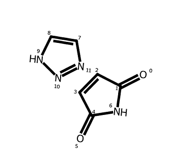 O=C1C=CC(=O)N1.c1c[nH]nn1